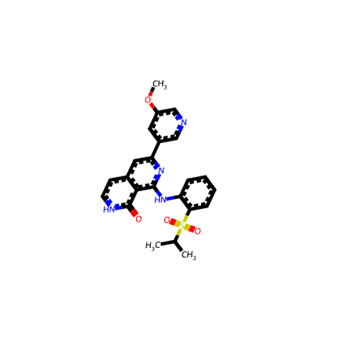 COc1cncc(-c2cc3cc[nH]c(=O)c3c(Nc3ccccc3S(=O)(=O)C(C)C)n2)c1